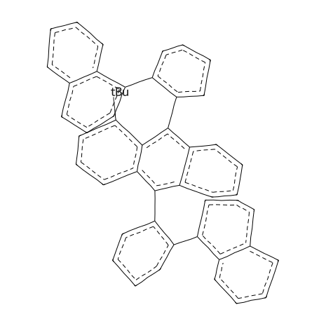 CC(C)(C)c1cccc2c(-c3ccccc3-c3cccc4ccccc34)c3ccccc3c(-c3ccccc3-c3cccc4ccccc34)c12